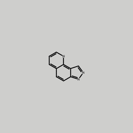 C1=C[N]c2c3c(ccc2=C1)=NN=C3